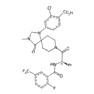 CC(C)[C@@H](NC(=O)c1cc(C(F)(F)F)ccc1F)C(=O)N1CCC2(CC1)C(=O)N(C)CN2c1ccc(C(=O)O)c(Cl)c1